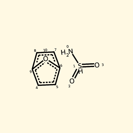 N[SH](=O)=O.c1cc2ccc1o2